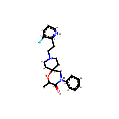 CC1OC2(CCN(CCc3ncccc3F)CC2)CN(c2ccccc2)C1=O